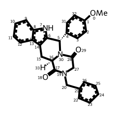 COc1ccc([C@H]2c3[nH]c4ccccc4c3C[C@@H]3C(=O)N(Cc4ccccc4)CC(=O)N23)cc1